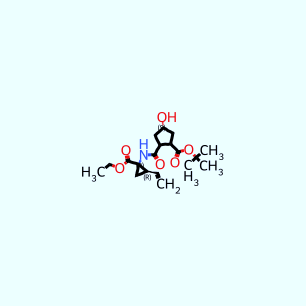 C=C[C@H]1C[C@]1(NC(=O)C1C[C@H](O)CC1C(=O)OC(C)(C)C)C(=O)OCC